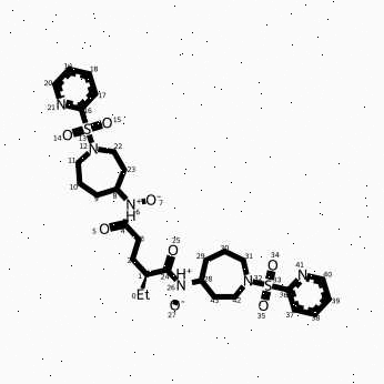 CC[C@@H](CCC(=O)[NH+]([O-])C1CCCN(S(=O)(=O)c2ccccn2)CC1)C(=O)[NH+]([O-])C1CCCN(S(=O)(=O)c2ccccn2)CC1